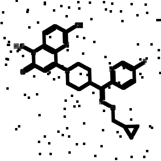 Cn1c(=O)cc(N2CCC(/C(=N/OCC3CC3)c3ccc(F)cn3)CC2)c2nc(C#N)ccc21